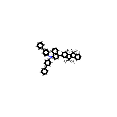 CC1(C)C2=C(c3ccccc31)C(C)(C)c1cc(-c3ccc(N(c4ccc(-c5ccccc5)cc4)c4ccc(-c5ccccc5)cc4)c4ccccc34)ccc12